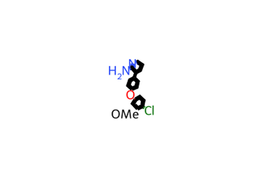 COc1cc(Oc2ccc(-c3cccnc3N)cc2)ccc1Cl